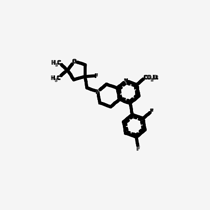 CCOC(=O)c1cc(-c2ccc(F)cc2F)c2c(n1)CN(CC1(F)COC(C)(C)C1)CC2